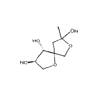 CC1(O)CC2(CO1)OC[C@@H](O)[C@@H]2O